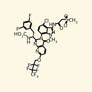 Cn1nc(NC(=O)CS(C)(=O)=O)c2c(Cl)ccc(-n3c([C@H](Cc4cc(F)cc(F)c4)NC(=O)O)nc4nc(OCC(F)(F)C(F)(F)C(F)(F)F)ccc4c3=O)c21